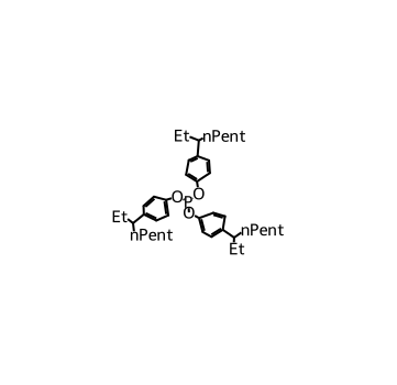 CCCCCC(CC)c1ccc(OP(Oc2ccc(C(CC)CCCCC)cc2)Oc2ccc(C(CC)CCCCC)cc2)cc1